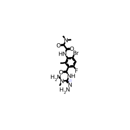 Cc1c(NC(=O)C(=O)N(C)C)c(Br)cc(F)c1C(=O)N/C(=N/N)N(C)N